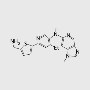 CCc1cc(-c2ccc(CN)s2)ncc1N(C)c1cc2c(cn1)ncn2C